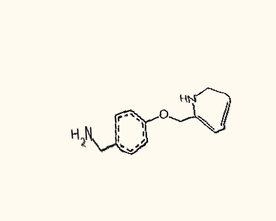 NCc1ccc(OCC2=CC=CCN2)cc1